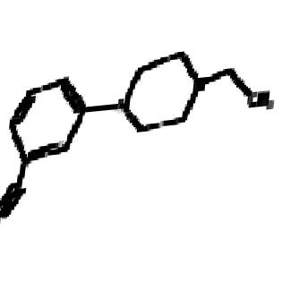 CCN1CCN(c2cccc(C#N)c2)CC1